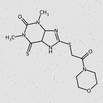 CN1C(=O)N(C)C2N=C(SCC(=O)N3CCOCC3)NC2C1=S